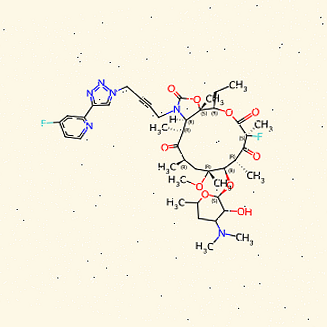 CC[C@H]1OC(=O)[C@@](C)(F)C(=O)[C@H](C)[C@@H](O[C@@H]2OC(C)CC(N(C)C)C2O)[C@](C)(OC)C[C@@H](C)C(=O)[C@H](C)[C@H]2N(CC#CCn3cc(-c4cc(F)ccn4)nn3)C(=O)O[C@]12C